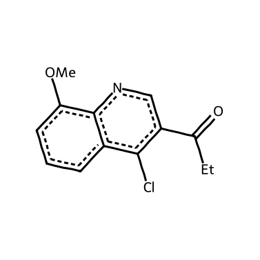 CCC(=O)c1cnc2c(OC)cccc2c1Cl